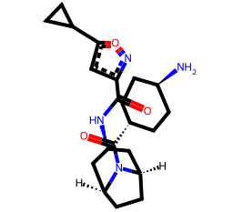 N[C@H]1CC[C@H](C(=O)N2[C@@H]3CC[C@H]2C[C@@H](NC(=O)c2cc(C4CC4)on2)C3)CC1